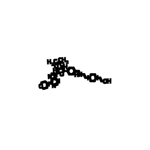 CC1(C)O[C@@H]2[C@H](O1)[C@@H](C1CCC(=CNCCN3CCN(CCO)CC3)CC1)O[C@H]2n1cnc2c(N3CCOCC3)ncnc21